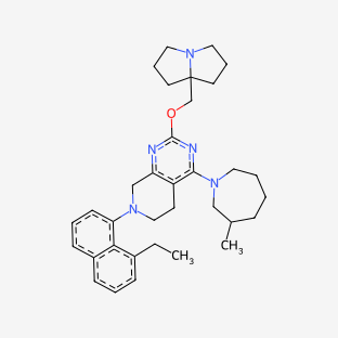 CCc1cccc2cccc(N3CCc4c(nc(OCC56CCCN5CCC6)nc4N4CCCCC(C)C4)C3)c12